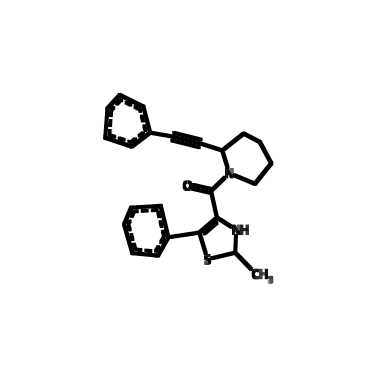 CC1NC(C(=O)N2CCCCC2C#Cc2ccccc2)=C(c2ccccc2)S1